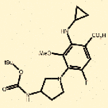 COc1c(NC2CC2)c(C(=O)O)cc(F)c1N1CCC(NC(=O)OC(C)(C)C)C1